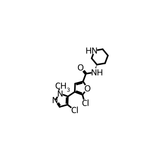 Cn1ncc(Cl)c1-c1cc(C(=O)N[C@H]2CCCNC2)oc1Cl